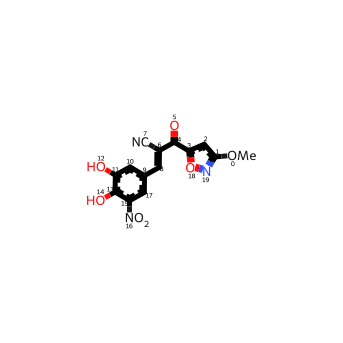 COc1cc(C(=O)/C(C#N)=C/c2cc(O)c(O)c([N+](=O)[O-])c2)on1